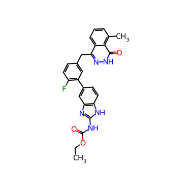 CCOC(=O)Nc1nc2cc(-c3cc(Cc4n[nH]c(=O)c5c(C)cccc45)ccc3F)ccc2[nH]1